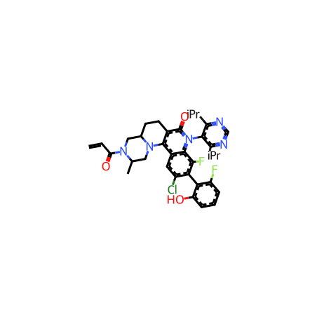 C=CC(=O)N1CC2CCc3c(c4cc(Cl)c(-c5c(O)cccc5F)c(F)c4n(-c4c(C(C)C)ncnc4C(C)C)c3=O)N2CC1C